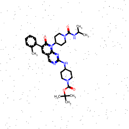 Cc1ccccc1-c1cc2cnc(NC3CCN(C(=O)OC(C)(C)C)CC3)nc2n(C2CCN(C(=O)NC(C)C)CC2)c1=O